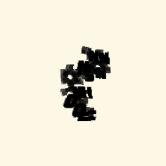 CCOCC(=O)N[C@@H](C)c1cccc(-c2nc3c(ncc4ncn(C)c43)s2)c1